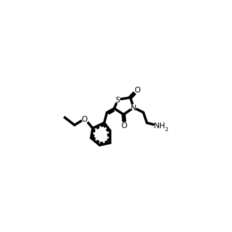 CCOc1ccccc1/C=C1/SC(=O)N(CCN)C1=O